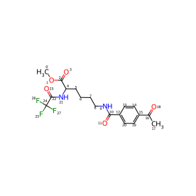 COC(=O)C(CCCCNC(=O)c1ccc(C(C)=O)cc1)NC(=O)C(F)(F)F